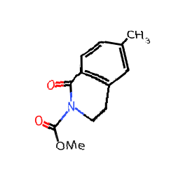 COC(=O)N1CCc2cc(C)ccc2C1=O